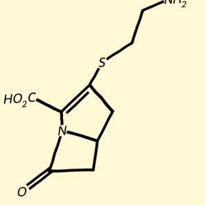 NCCSC1=C(C(=O)O)N2C(=O)CC2C1